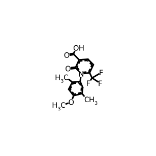 COc1cc(C)c(-n2c(C(F)(F)F)ccc(C(=O)O)c2=O)cc1C